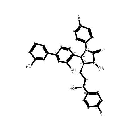 CN1C(=O)N(c2ccc(F)cc2)[C@H](c2ccc(-c3cccc(O)c3)cc2O)[C@@H]1CC[C@H](O)c1ccc(F)cc1